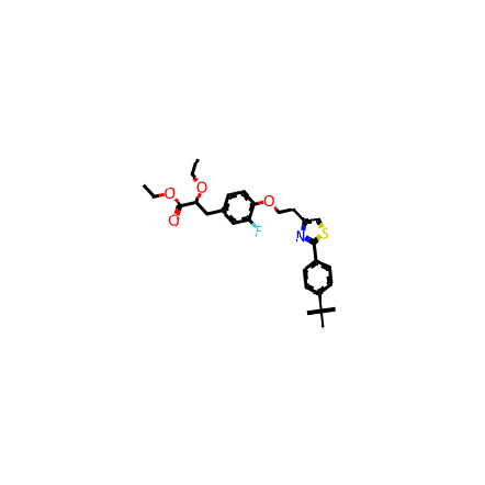 CCOC(=O)C(Cc1ccc(OCCc2csc(-c3ccc(C(C)(C)C)cc3)n2)c(F)c1)OCC